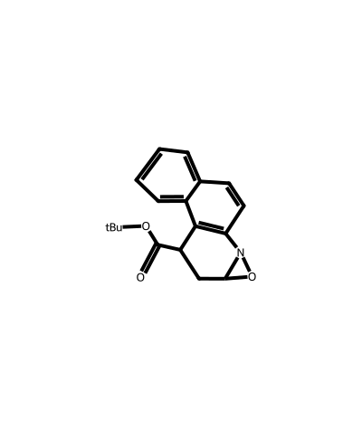 CC(C)(C)OC(=O)C1CC2ON2c2ccc3ccccc3c21